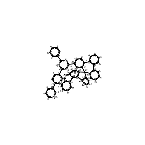 c1ccc(-c2nc(-c3ccc(-c4cccnc4)nc3)cc(-c3ccc4c(c3)C3(c5ccccc5-c5ccccc5-4)c4ccccc4-c4c3ccc3sc5ccccc5c43)n2)cc1